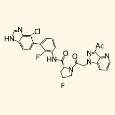 CC(=O)c1nn(CC(=O)N2C[C@H](F)C[C@H]2C(=O)Nc2cccc(-c3ccc4[nH]cnc4c3Cl)c2F)c2cccnc12